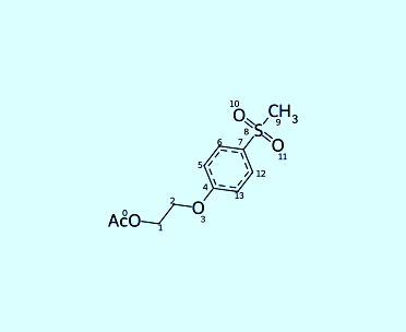 CC(=O)OCCOc1ccc(S(C)(=O)=O)cc1